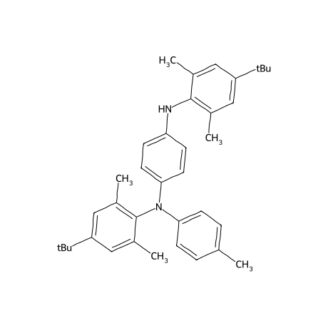 Cc1ccc(N(c2ccc(Nc3c(C)cc(C(C)(C)C)cc3C)cc2)c2c(C)cc(C(C)(C)C)cc2C)cc1